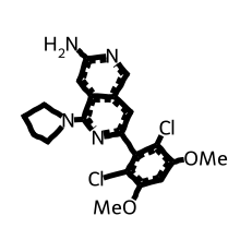 COc1cc(OC)c(Cl)c(-c2cc3cnc(N)cc3c(N3CCCC3)n2)c1Cl